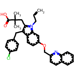 C=CCn1c(CC(C)(C)C(=O)O)c(Cc2ccc(Cl)cc2)c2ccc(OCc3ccc4ccccc4n3)cc21